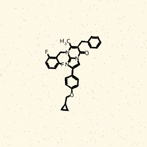 Cc1c(Cc2ccccc2)c(=O)n2cc(-c3ccc(OCC4CC4)cc3)nc2n1Cc1c(F)cccc1F